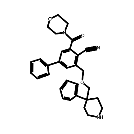 N#Cc1c(COCC2(c3ccccc3)CCNCC2)cc(-c2ccccc2)cc1C(=O)N1CCOCC1